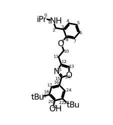 CC(C)NCc1ccccc1OCCc1coc(-c2cc(C(C)(C)C)c(O)c(C(C)(C)C)c2)n1